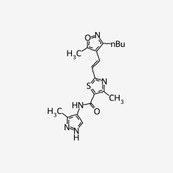 CCCCc1noc(C)c1/C=C/c1nc(C)c(C(=O)Nc2c[nH]nc2C)s1